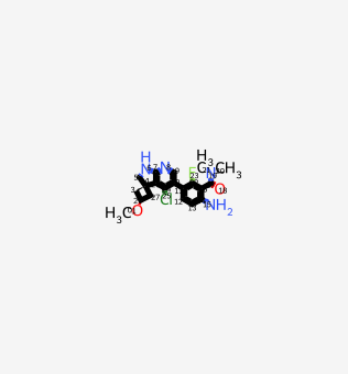 CO[C@H]1C[C@@]2(CNc3ncc(-c4ccc(N)c(C(=O)N(C)C)c4F)c(Cl)c32)C1